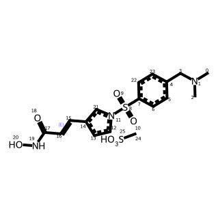 CN(C)Cc1ccc(S(=O)(=O)n2ccc(/C=C/C(=O)NO)c2)cc1.CS(=O)(=O)O